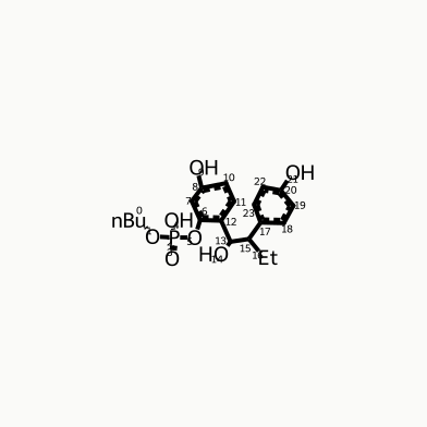 CCCCOP(=O)(O)Oc1cc(O)ccc1C(O)C(CC)c1ccc(O)cc1